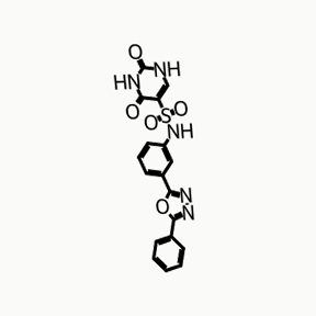 O=c1[nH]cc(S(=O)(=O)Nc2cccc(-c3nnc(-c4ccccc4)o3)c2)c(=O)[nH]1